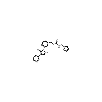 O=C(NCc1ccnc(-n2[nH]cc(-c3cccnc3)c2=O)c1)NCc1cccs1